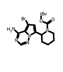 CC(C)(C)OC(=O)N1CCCCC1c1cc(Br)c2c(N)ncnn12